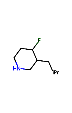 CC(C)CC1CNCCC1F